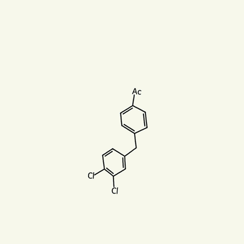 CC(=O)c1ccc(Cc2ccc(Cl)c(Cl)c2)cc1